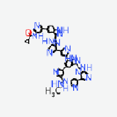 CCNC(=N)c1cncc(-c2cc(-c3cncc(-c4cncc5[nH]c(-c6n[nH]c7ccc(-c8cncc(NC(=O)C9CC9)c8)cc67)nc45)c3)c3[nH]nc(-c4nc5c(-c6cccnc6)cncc5[nH]4)c3c2)c1